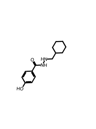 O=C(NNCC1CCCCC1)c1ccc(O)cc1